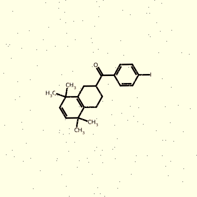 CC1(C)C=CC(C)(C)C2=C1CCC(C(=O)c1ccc(I)cc1)C2